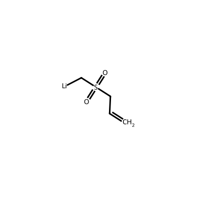 [Li][CH2]S(=O)(=O)CC=C